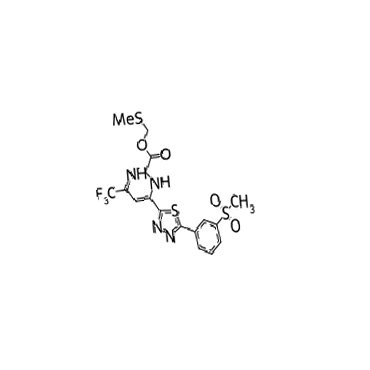 CSCOC(=O)CN/C(=C\C(=N)C(F)(F)F)c1nnc(-c2cccc(S(C)(=O)=O)c2)s1